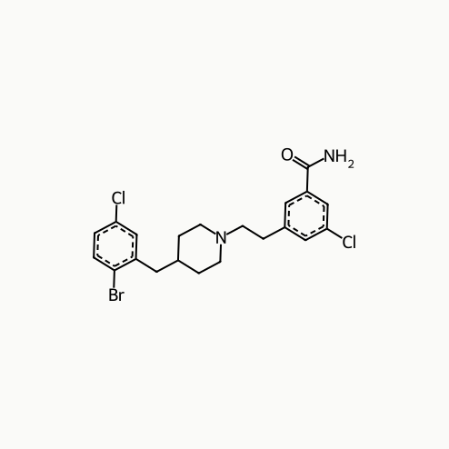 NC(=O)c1cc(Cl)cc(CCN2CCC(Cc3cc(Cl)ccc3Br)CC2)c1